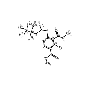 COC(=O)c1ccc(CC(C)CC(C)(C)[Si](C)(C)O)c(C(=O)OC)c1O